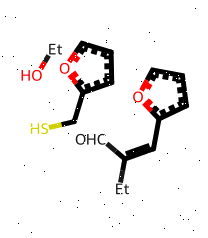 CCC(C=O)=Cc1ccco1.CCO.SCc1ccco1